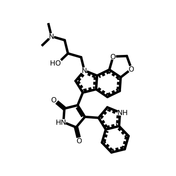 CN(C)CC(O)Cn1cc(C2=C(c3c[nH]c4ccccc34)C(=O)NC2=O)c2ccc3c(c21)OCO3